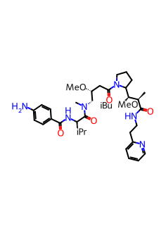 CC[C@H](C)[C@@H]([C@@H](CC(=O)N1CCCC1[C@H](OC)[C@@H](C)C(=O)NCCc1ccccn1)OC)N(C)C(=O)C(NC(=O)c1ccc(N)cc1)C(C)C